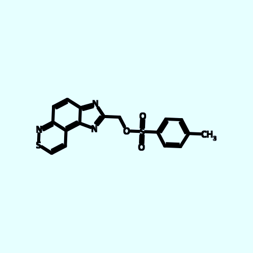 Cc1ccc(S(=O)(=O)OCc2nc3ccc4nsccc4c3n2)cc1